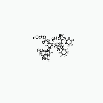 C#C[C@]1(CO[P@@](=O)(N[C@@H](Cc2ccccc2)C(=O)OC(C)C)Oc2ccccc2)O[C@@H](n2cnc3c(N)nc(F)nc32)C[C@@H]1OC(=O)OCCCCCCCC